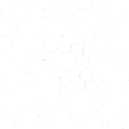 CN1CCCC1C(=O)N1CCc2c(Cl)ccc(OCc3nnn(C)c3C(F)F)c2[C@H]1CN1CCCC1=O